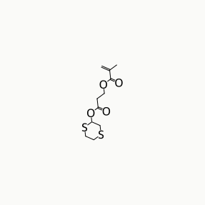 C=C(C)C(=O)OCCC(=O)OC1CSCCS1